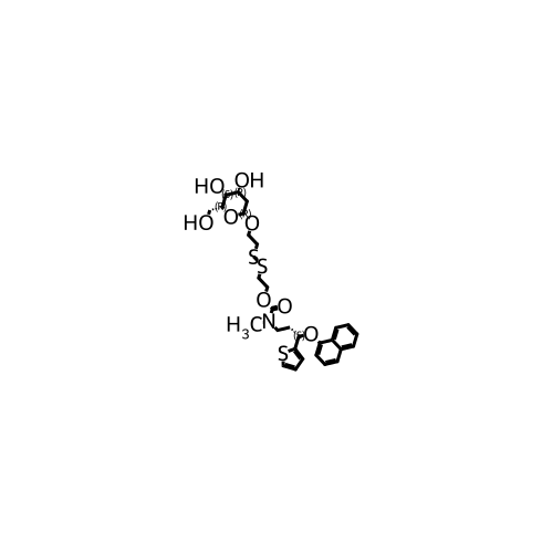 CN(CC[C@H](Oc1cccc2ccccc12)c1cccs1)C(=O)OCCSSCCO[C@H]1C[C@@H](O)[C@H](O)[C@@H](CO)O1